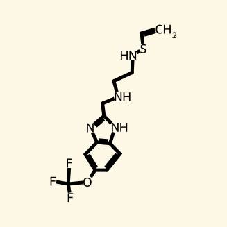 C=CSNCCNCc1nc2cc(OC(F)(F)F)ccc2[nH]1